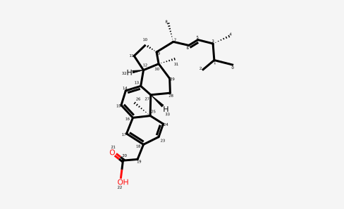 CC(C)[C@@H](C)/C=C/[C@@H](C)[C@H]1CC[C@H]2C3=CC=C4C=C(CC(=O)O)C=C[C@]4(C)[C@H]3CC[C@]12C